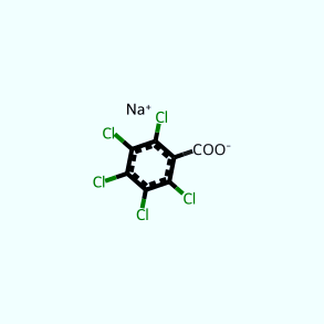 O=C([O-])c1c(Cl)c(Cl)c(Cl)c(Cl)c1Cl.[Na+]